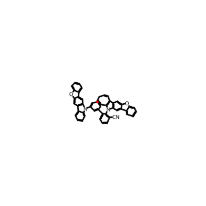 N#Cc1cccc(C2=CC(n3c4ccccc4c4cc5oc6ccccc6c5cc43)=CCC2)c1-n1c2c(c3cc4oc5ccccc5c4cc31)C=CCC#C2